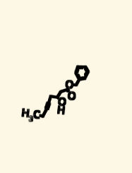 CCC#CC[C@H](O)CC(=O)OCc1ccccc1